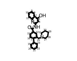 O=C(Nc1cc(O)c2ccccc2n1)c1ccc(-c2ccccc2)c(CN2CCCCC2)c1